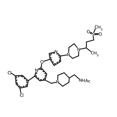 CC(=O)NCC1CCN(Cc2cc(Oc3ccc(N4CCN(C(C)CCS(C)(=O)=O)CC4)nc3)nc(-c3cc(Cl)cc(Cl)c3)c2)CC1